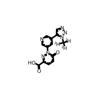 [2H]C([2H])([2H])n1nncc1-c1cncc(-n2nc(C(=O)O)ccc2=O)c1